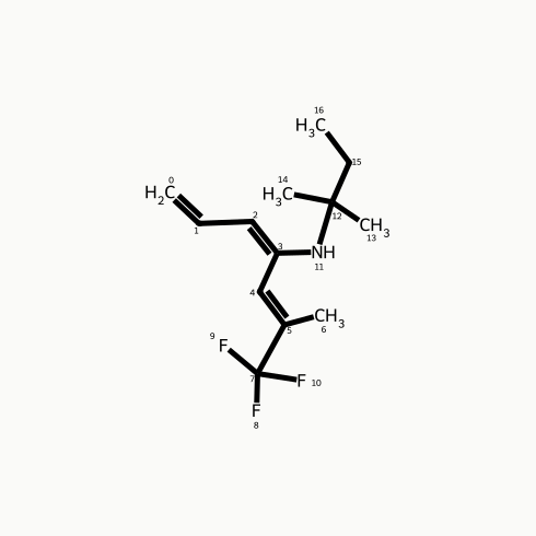 C=C/C=C(\C=C(/C)C(F)(F)F)NC(C)(C)CC